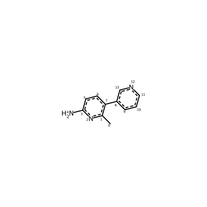 Cc1nc(N)ccc1-c1cccnc1